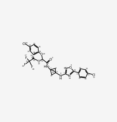 O=C(NC12CC(Nc3noc(-c4ccc(Cl)cc4)n3)(C1)C2)C(OC(=O)C(F)(F)F)Oc1ccc(Cl)cc1